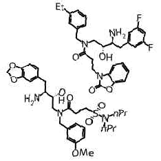 CCCN(CCC)S(=O)(=O)CCC(=O)N(Cc1cccc(OC)c1)C[C@@H](O)[C@@H](N)Cc1ccc2c(c1)OCO2.CCc1cccc(CN(C[C@@H](O)[C@@H](N)Cc2cc(F)cc(F)c2)C(=O)CCn2c(=O)oc3ccccc32)c1